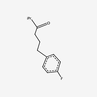 CC(C)C(=O)CCCc1ccc(F)cc1